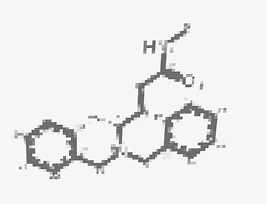 CNC(=O)CC[C@@H](C)N(Cc1ccccc1)Cc1ccccc1